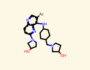 CC(=O)c1cnc2ccc(N3CCC(O)C3)nc2c1NC1CCC(CN2CCC(O)C2)CC1